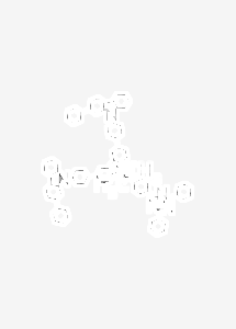 CC(C)(c1ccc(-c2nc(-c3ccccc3)nc(-c3ccccc3)n2)cc1)n1c2ccc(-c3ccc(-n4c5ccccc5c5ccc(-c6ccccc6)cc54)cc3)cc2c2cc(-c3ccc(-n4c5ccccc5c5ccc(-c6ccccc6)cc54)cc3)ccc21